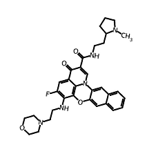 CN1CCCC1CCNC(=O)c1cn2c3c(c(NCCN4CCOCC4)c(F)cc3c1=O)Oc1cc3ccccc3cc1-2